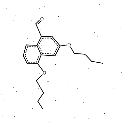 CCCCOc1cc(C=O)c2cccc(OCCCC)c2c1